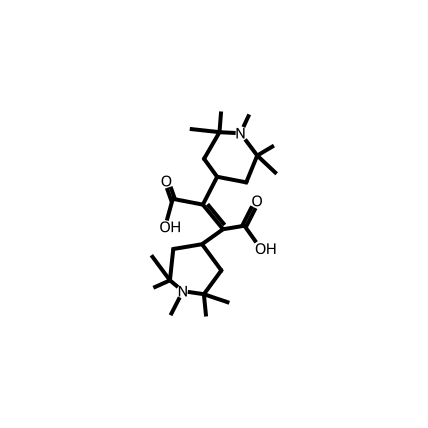 CN1C(C)(C)CC(/C(C(=O)O)=C(\C(=O)O)C2CC(C)(C)N(C)C(C)(C)C2)CC1(C)C